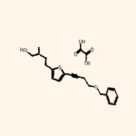 CC(CO)CCc1ccc(C#CCCOCc2ccccc2)s1.O=C(O)C(=O)O